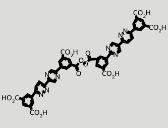 O=C(O)c1cc(C(=O)OOC(=O)c2cc(C(=O)O)cc(-c3ncc(-c4ccc(-c5cc(C(=O)O)cc(C(=O)O)c5)nn4)cn3)c2)cc(-c2cnc(-c3ccc(-c4cc(C(=O)O)cc(C(=O)O)c4)nn3)cn2)c1